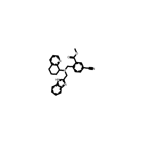 COC(=O)c1cc(C#N)ccc1CN(Cc1nc2ccccc2[nH]1)C1CCCc2cccnc21